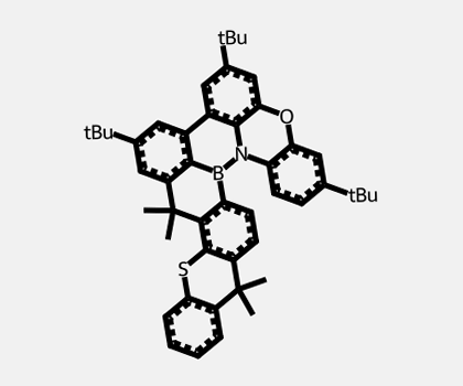 CC(C)(C)c1ccc2c(c1)Oc1cc(C(C)(C)C)cc3c1N2B1c2ccc4c(c2C(C)(C)c2cc(C(C)(C)C)cc-3c21)Sc1ccccc1C4(C)C